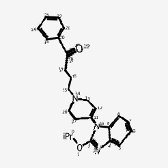 CC(C)Oc1nc2ccccc2n1C1=CCN(CCCC(=O)c2ccccc2)CC1